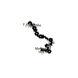 CNC(=O)O[C@@H](C)C(=O)N[C@H](C(=O)N1CCC[C@H]1c1nc(C(=O)c2cccc(OCCCC3CC4(CCN(CC5CCC(n6cc7cc(NC(=O)c8cccc(C(F)(F)F)n8)c(OC)cc7n6)CC5)CC4)C3)c2)cs1)C1CCCCC1